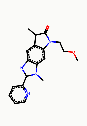 COCCN1C(=O)C(C)c2cc3c(cc21)N(C)C(c1ccccn1)N3